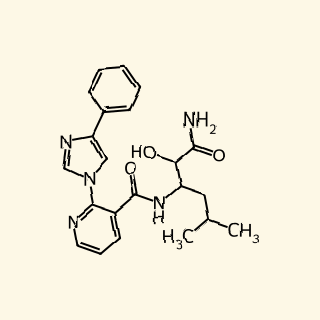 CC(C)CC(NC(=O)c1cccnc1-n1cnc(-c2ccccc2)c1)C(O)C(N)=O